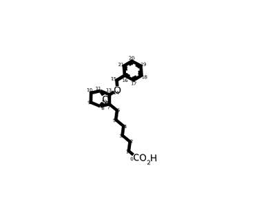 O=C(O)CCCCCCC1C2CCC(O2)C1OCc1ccccc1